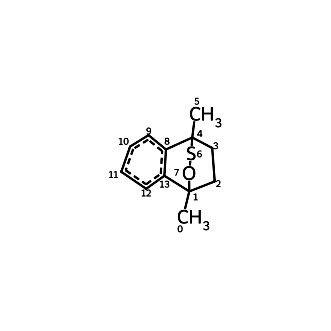 CC12CCC(C)(SO1)c1ccccc12